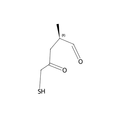 C[C@@H](C=O)CC(=O)CS